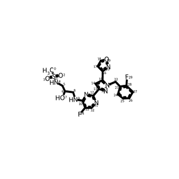 CS(=O)(=O)NCC(O)CNc1nc(-c2cc(-c3ccon3)n(Cc3ccccc3F)n2)ncc1F